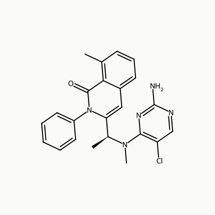 Cc1cccc2cc([C@H](C)N(C)c3nc(N)ncc3Cl)n(-c3ccccc3)c(=O)c12